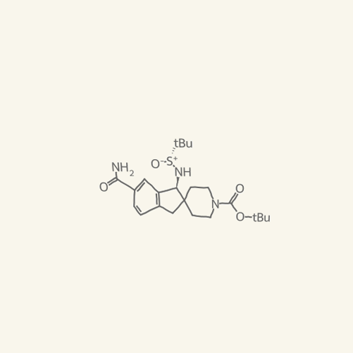 CC(C)(C)OC(=O)N1CCC2(CC1)Cc1ccc(C(N)=O)cc1[C@H]2N[S@+]([O-])C(C)(C)C